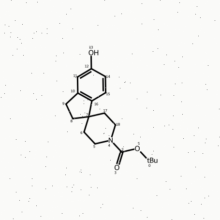 CC(C)(C)OC(=O)N1CCC2(CCc3cc(O)ccc32)CC1